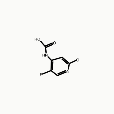 O=C(O)Nc1cc(Cl)ncc1F